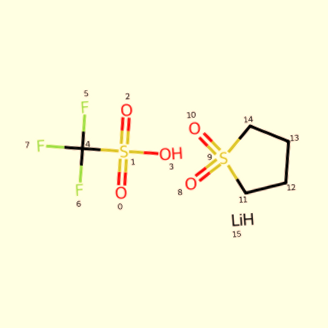 O=S(=O)(O)C(F)(F)F.O=S1(=O)CCCC1.[LiH]